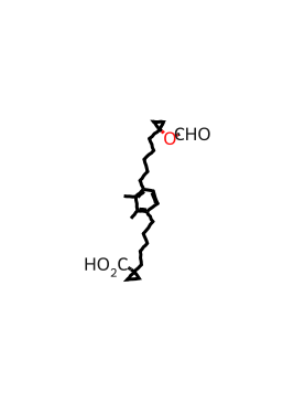 Cc1c(CCCCCC2(OC=O)CC2)ccc(CCCCCC2(C(=O)O)CC2)c1C